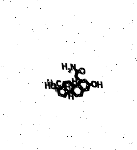 C[C@]12CC[C@@H]3c4c(cc(O)cc4CC(N)=O)CC[C@H]3[C@@H]1CC[C@H]2O